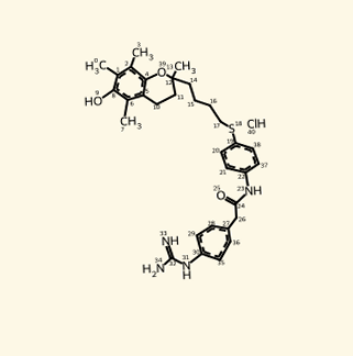 Cc1c(C)c2c(c(C)c1O)CCC(C)(CCCCSc1ccc(NC(=O)Cc3ccc(NC(=N)N)cc3)cc1)O2.Cl